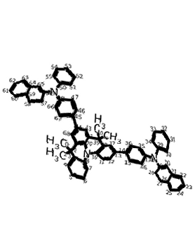 CC1(C)c2ccccc2N2c3ccc(-c4ccc(N(C5=Cc6ccccc6CC5)c5ccccc5)cc4)cc3C(C)(C)c3cc(-c4ccc(N(c5ccccc5)c5ccc6ccccc6c5)cc4)cc1c32